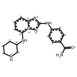 NC(=O)c1ccc(Nc2nc3cccc(NC4CCCNC4)n3n2)cc1